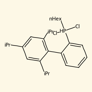 CCCCCC[PH](Cl)(Cl)c1ccccc1-c1c(C(C)C)cc(C(C)C)cc1C(C)C